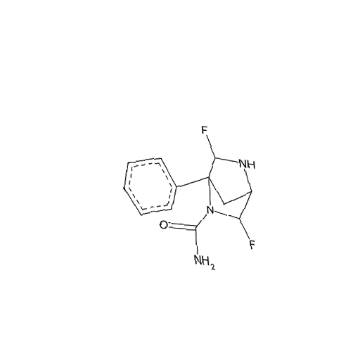 NC(=O)N1C(F)C2CC1(c1ccccc1)C(F)N2